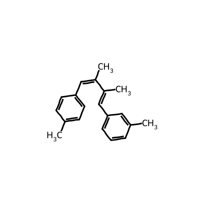 CC(=Cc1ccc(C)cc1)C(C)=Cc1cccc(C)c1